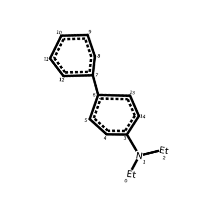 CCN(CC)c1ccc(-c2ccccc2)cc1